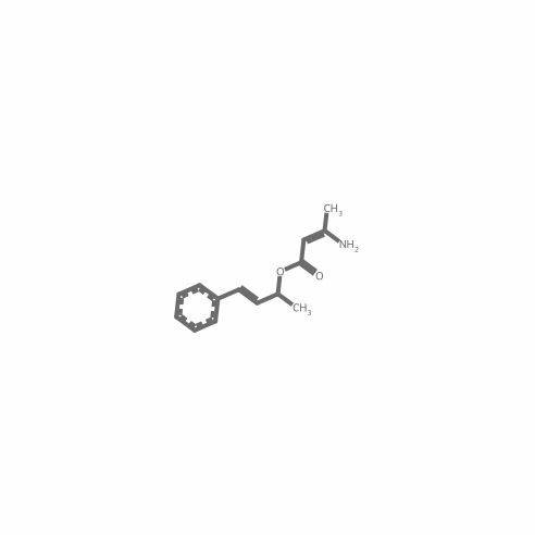 CC(N)=CC(=O)OC(C)C=Cc1ccccc1